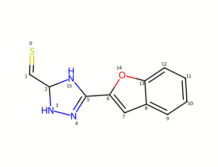 S=CC1NN=C(c2cc3ccccc3o2)N1